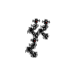 Cc1c(NC(=O)c2cc3c(s2)[C@@H]2CC[C@H]3C2)cccc1-c1cn(C)c(=O)c(Nc2ccc([C@@H]3C(=O)N(C)CCN3C)cc2)n1.Cc1c(NC(=O)c2cc3c(s2)[C@@H]2CC[C@H]3C2)cccc1-c1cn(C)c(=O)c(Nc2ccc([C@H]3C(=O)N(C)CCN3C)cc2)n1.Cc1c(NC(=O)c2cc3c(s2)[C@H]2CC[C@@H]3C2)cccc1-c1cn(C)c(=O)c(Nc2ccc([C@H]3C(=O)N(C)CCN3C)cc2)n1